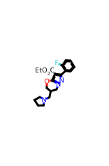 CCOC(=O)c1c(-c2ccccc2F)nn2c1OCC(CN1CCCC1)C2